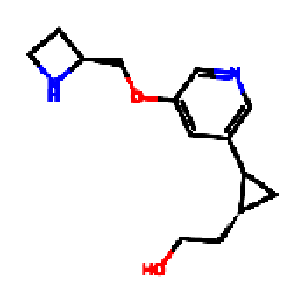 OCC[C@H]1CC1c1cncc(OC[C@@H]2CCN2)c1